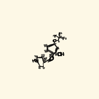 Cl.FC(F)(F)COc1ccc(OC2CCNCC2)cc1